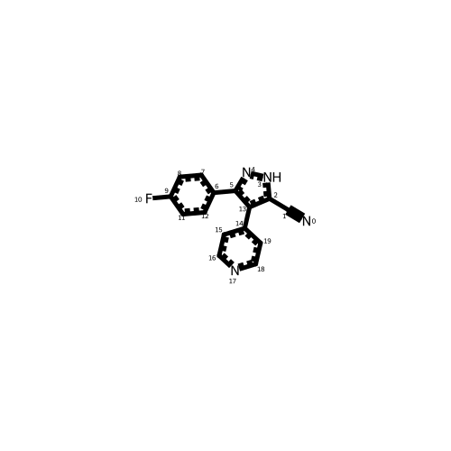 N#Cc1[nH]nc(-c2ccc(F)cc2)c1-c1ccncc1